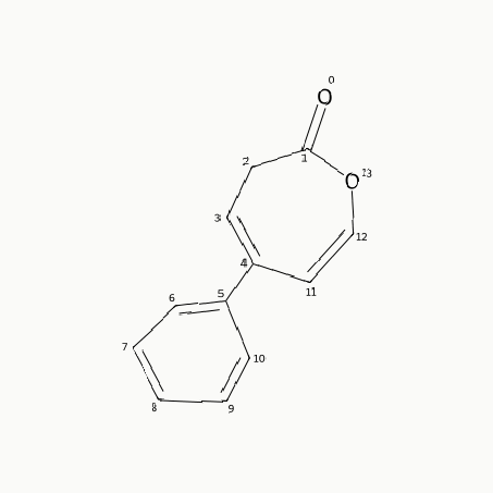 O=C1CC=C(c2ccccc2)C=CO1